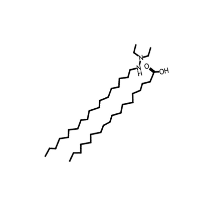 CCCCCCCCCCCCCCCCCC(=O)O.CCCCCCCCCCCCCCCCCCNN(CC)CC